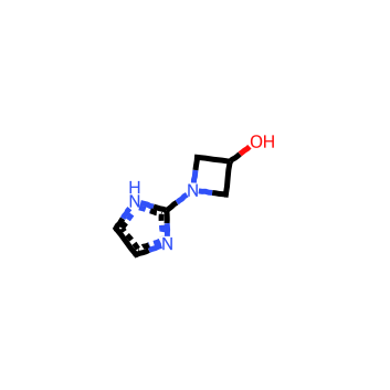 OC1CN(c2ncc[nH]2)C1